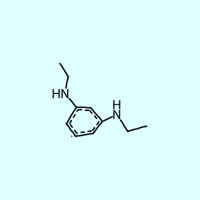 CCNc1c[c]cc(NCC)c1